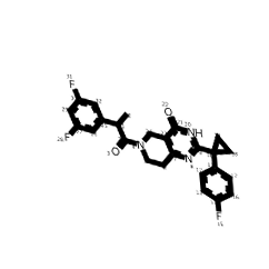 CC(C(=O)N1CCc2nc(C3(c4ccc(F)cc4)CC3)[nH]c(=O)c2C1)c1cc(F)cc(F)c1